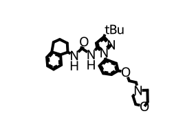 CC(C)(C)c1cc(NC(=O)NC2CCCc3ccccc32)n(-c2cccc(OCCN3CCOCC3)c2)n1